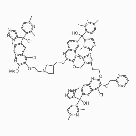 COc1nc2ccc(C(O)(c3ccc(C)nc3C)c3cnnn3C)cc2c(Cl)c1OCCN1CCC(COc2nc3ccc(C(O)(c4ccc(C)nc4C)c4cnnn4C)cc3c(Cl)c2OCc2c(CCOc3nc4ccc(C(O)(c5ccc(C)nc5C)c5cnnn5C)cc4c(Cl)c3OCc3ncccn3)noc2C)C1